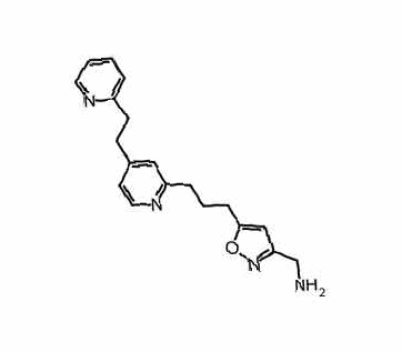 NCc1cc(CCCc2cc(CCc3ccccn3)ccn2)on1